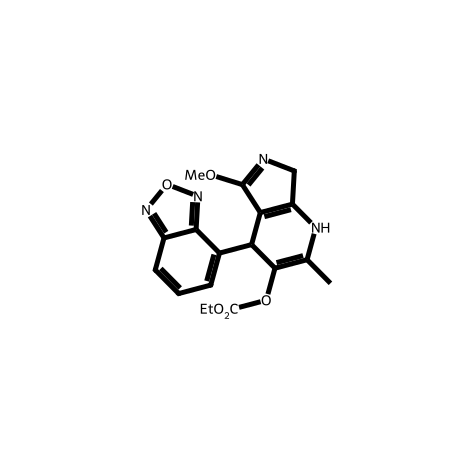 CCOC(=O)OC1=C(C)NC2=C(C(OC)=NC2)C1c1cccc2nonc12